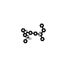 CCc1nc2c3c(-c4ccc(-c5ccc(-c6nc(-c7ccccc7)cc(-c7cccc(-c8ccccc8)c7)n6)cc5)cc4)nc4ccccc4c3ccc2n1-c1ccccc1